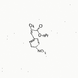 CCCOC(=O)C(C#N)=Cc1ccc([N+](=O)[O-])cc1